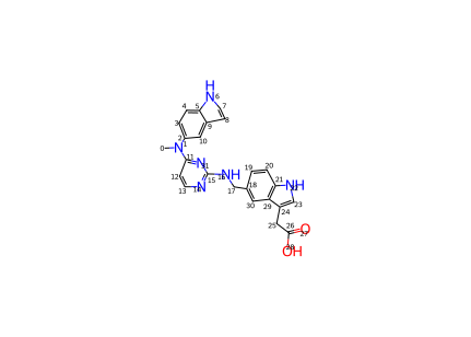 CN(c1ccc2[nH]ccc2c1)c1ccnc(NCc2ccc3[nH]cc(CC(=O)O)c3c2)n1